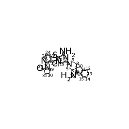 Nc1nc(N2CCC3(CC2)Cc2ccccc2[C@H]3N)cnc1Sc1ccnc(N2CCCC2=O)c1Cl